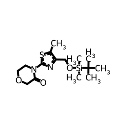 Cc1sc(N2CCOCC2=O)nc1CO[Si](C)(C)C(C)(C)C